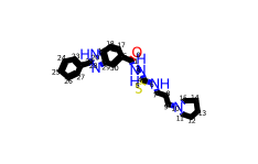 O=C(NNC(=S)NCCCN1CCCCC1)c1ccc2[nH]c(-c3ccccc3)nc2c1